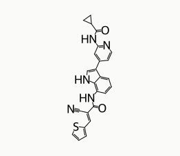 N#CC(=Cc1cccs1)C(=O)Nc1cccc2c(-c3ccnc(NC(=O)C4CC4)c3)c[nH]c12